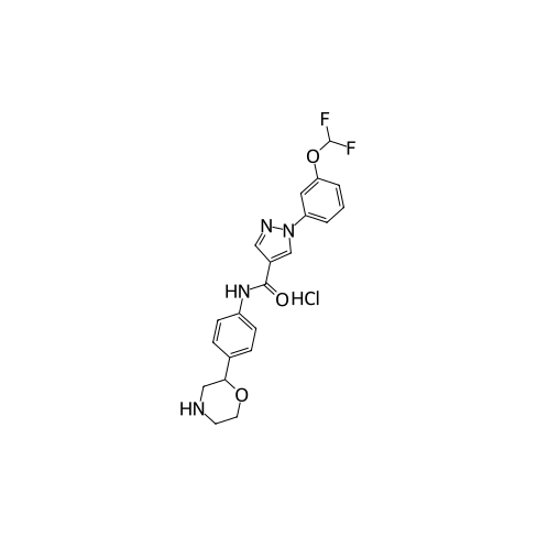 Cl.O=C(Nc1ccc(C2CNCCO2)cc1)c1cnn(-c2cccc(OC(F)F)c2)c1